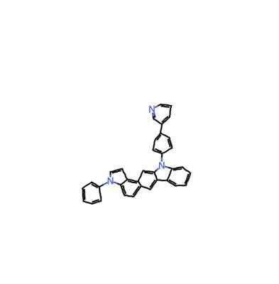 c1ccc(-n2ccc3c4cc5c(cc4ccc32)c2ccccc2n5-c2ccc(-c3cccnc3)cc2)cc1